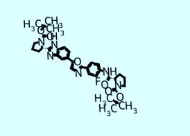 CC(C)(C)OC(=O)N1CCC[C@H]1C(=O)Nc1ccc(-c2ncc(-c3ccc4[nH]c([C@@H]5CCCN5C(=O)OC(C)(C)C)nc4c3)o2)cc1F